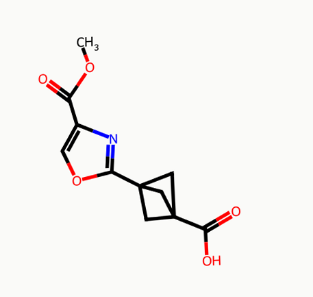 COC(=O)c1coc(C23CC(C(=O)O)(C2)C3)n1